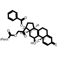 CCCCCC(=O)OCC(=O)[C@@]1(OC(=O)c2ccccc2)CC[C@H]2C3=C(C(O)C[C@@]21C)[C@@]1(C)C=CC(=O)C=C1CC3